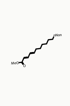 CCCCCCCCCCCCCCC/C=C/C=C/C(=O)OC